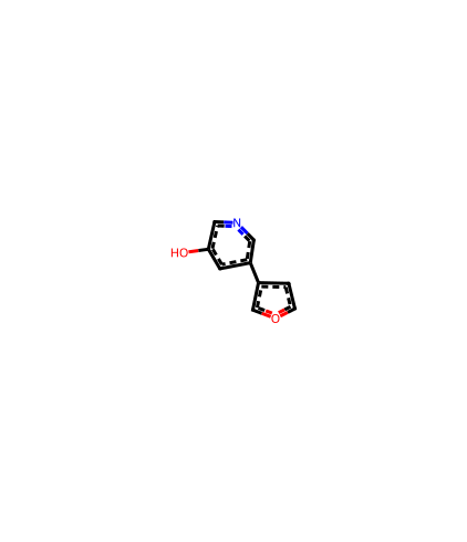 Oc1cncc(-c2ccoc2)c1